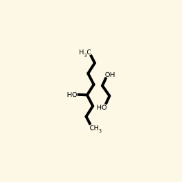 CCCCC(O)CCC.OCCO